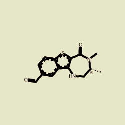 C[C@@H]1CNc2c(sc3ccc(C=O)cc23)C(=O)N1C